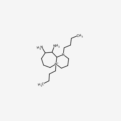 CCCCN1CCC[N+]2(CCCC)CCCC(N)C(N)C12